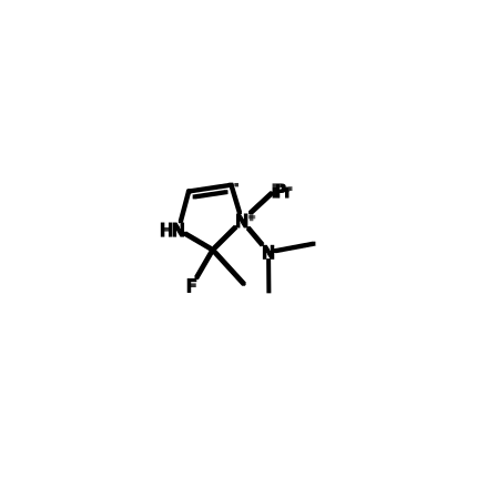 CC(C)[N+]1(N(C)C)[C]=CNC1(C)F